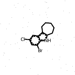 Clc1cc(Br)c2[nH]c3c(c2c1)CCCCC3